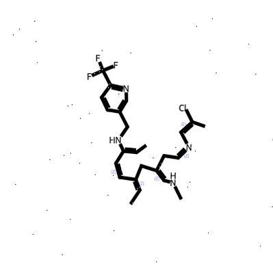 CC=C(/C=C\C(=C/C)C/C(=C/NC)C/C=N\C=C(/C)Cl)NCc1ccc(C(F)(F)F)nc1